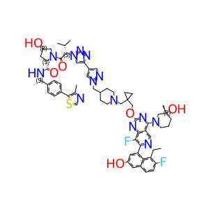 CCc1c(F)ccc2cc(O)cc(-c3ncc4c(N5CCC[C@@](C)(O)C5)nc(OCC5(CN6CCC(Cn7cc(-c8cn([C@H](C(=O)N9C[C@H](O)C[C@H]9C(=O)N[C@@H](C)c9ccc(-c%10scnc%10C)cc9)C(C)C)nn8)cn7)CC6)CC5)nc4c3F)c12